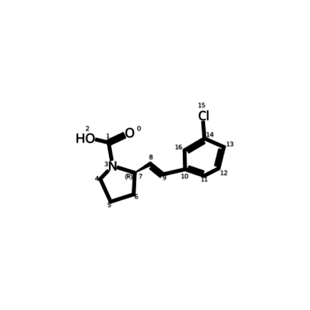 O=C(O)N1CCC[C@@H]1C=Cc1cccc(Cl)c1